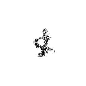 C=C[C@@H]1C[C@]1(NC(=O)[C@@H]1C[C@@H]2CN1C(=O)[C@H](C(C)(C)C)NC(=O)O[C@@H]1CCC[C@H]1CCCCCc1c(nc3ccccc3c1OCCN1CCOCC1)O2)C(=O)NS(=O)(=O)N1CCOCC1